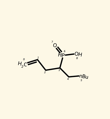 C=CCC(CCCCC)[PH](=O)O